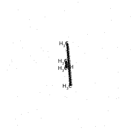 CCCCCC(C)O.CCCCCCCCCCCCCCCCCC[P]CCCCCCCCCCCCCCCCCC